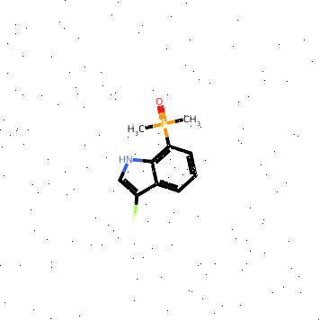 CP(C)(=O)c1cccc2c(F)c[nH]c12